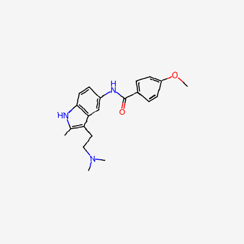 COc1ccc(C(=O)Nc2ccc3[nH]c(C)c(CCN(C)C)c3c2)cc1